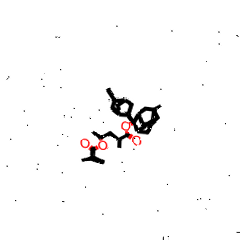 C=C(C)C(=O)OC(C)CC(C)C(=O)OC1(C2CC3CC2CC3C)C2CC3CC1CC(C)(C3)C2